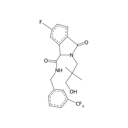 CC(C)(CO)CN1C(=O)c2ccc(F)cc2C1C(=O)NCc1cccc(C(F)(F)F)c1